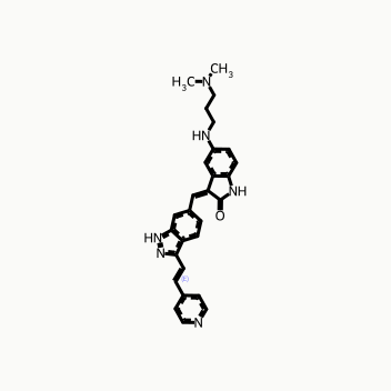 CN(C)CCCNc1ccc2c(c1)C(=Cc1ccc3c(/C=C/c4ccncc4)n[nH]c3c1)C(=O)N2